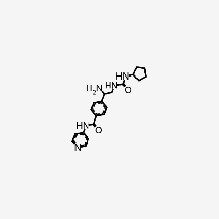 NC(CNC(=O)NC1CCCC1)c1ccc(C(=O)Nc2ccncc2)cc1